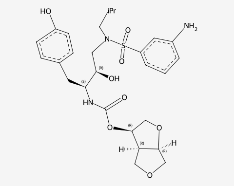 CC(C)CN(C[C@@H](O)[C@H](Cc1ccc(O)cc1)NC(=O)O[C@H]1CO[C@H]2COC[C@H]21)S(=O)(=O)c1cccc(N)c1